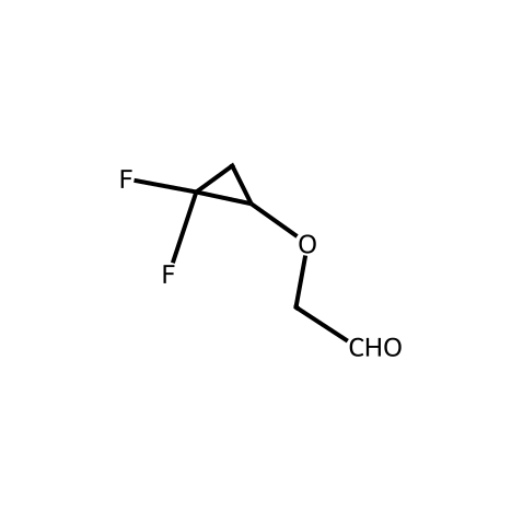 O=CCOC1CC1(F)F